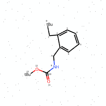 [CH2]C(C)(C)Cc1ccccc1CNC(=O)OC(C)(C)C